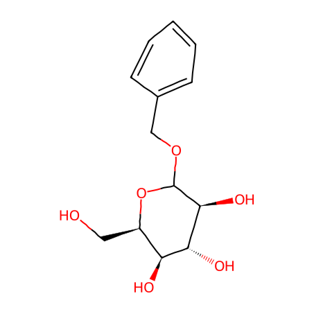 OC[C@H]1OC(OCc2ccccc2)[C@@H](O)[C@H](O)[C@H]1O